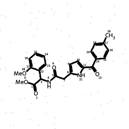 COC(=O)C(NC(=O)Cc1ccc(C(=O)c2ccc(C)cc2)[nH]1)c1ccccc1OC